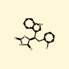 O=C1NC(=O)C(=C(Cc2ccccc2F)c2c[nH]c3ccccc23)S1